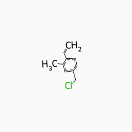 C=Cc1ccc(CCl)cc1C